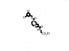 CCOC(=O)CCNC(=O)c1cc2n(n1)CCCN(C(=O)OCc1cc(Cl)cc(Cl)c1)C2